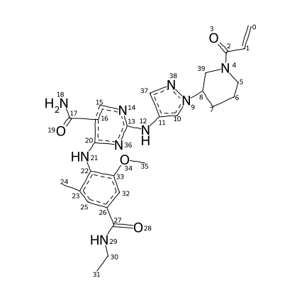 C=CC(=O)N1CCCC(n2cc(Nc3ncc(C(N)=O)c(Nc4c(C)cc(C(=O)NCC)cc4OC)n3)cn2)C1